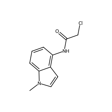 Cn1ccc2c(NC(=O)CCl)cccc21